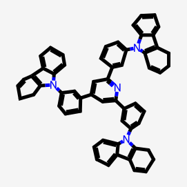 C1=Cc2c(c3ccccc3n2-c2cccc(-c3cc(-c4cccc(-n5c6c(c7ccccc75)C=CCC6)c4)cc(-c4cccc(-n5c6c(c7ccccc75)C=CCC6)c4)n3)c2)CC1